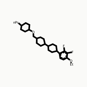 CCCC1CCC(OCC2CCC(C3CCC(c4ccc(OCC)c(F)c4F)CC3)CC2)CC1